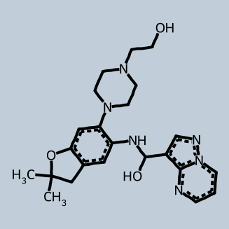 CC1(C)Cc2cc(NC(O)c3cnn4cccnc34)c(N3CCN(CCO)CC3)cc2O1